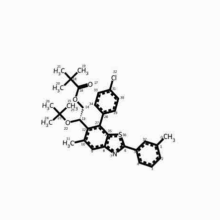 Cc1cccc(-c2nc3cc(C)c([C@@H](COC(=O)C(C)(C)C)OC(C)(C)C)c(-c4ccc(Cl)cc4)c3s2)c1